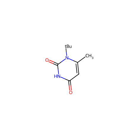 Cc1cc(=O)[nH]c(=O)n1C(C)(C)C